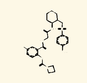 CSc1ccc(S(=O)(=O)CC2CCCCC2NC(=O)CNC(=O)c2cc(C(F)(F)F)ccc2NC(=O)N2CCC2)cc1